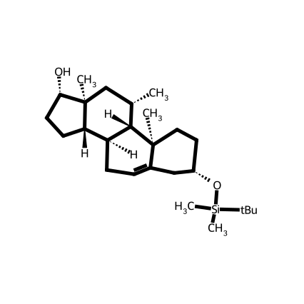 C[C@H]1C[C@]2(C)[C@@H](O)CC[C@H]2[C@@H]2CC=C3C[C@@H](O[Si](C)(C)C(C)(C)C)CC[C@]3(C)[C@H]21